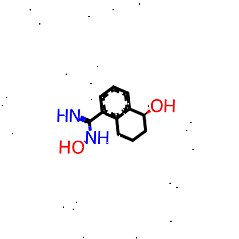 N=C(NO)c1cccc2c1CCC[C@@H]2O